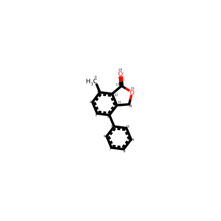 Cc1ccc(-c2ccccc2)c2c1C(=O)OC2